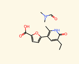 CCc1cc(-c2ccc(C(=O)O)o2)c(C)[nH]c1=O.CN(C)C=O